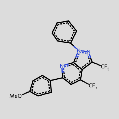 COc1ccc(-c2cc(C(F)(F)F)c3c(C(F)(F)F)nn(-c4ccccc4)c3n2)cc1